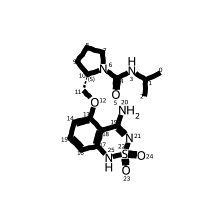 CC(C)NC(=O)N1CCC[C@H]1COc1cccc2c1C(N)=NS(=O)(=O)N2